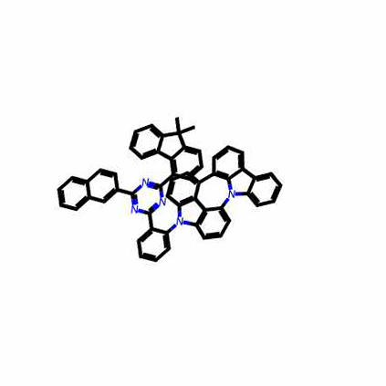 CC1(C)c2ccccc2-c2c(-c3nc(-c4ccc5ccccc5c4)nc(-c4ccccc4-n4c5cccc6c7cccc8c9ccccc9n(c9cccc4c9c65)c78)n3)cccc21